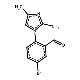 Cc1cn(-c2ccc(Br)cc2C=O)c(C)n1